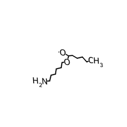 CCCCCC([O])OCCCCCCN